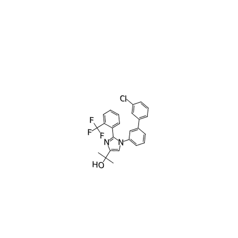 CC(C)(O)c1cn(-c2cccc(-c3cccc(Cl)c3)c2)c(-c2ccccc2C(F)(F)F)n1